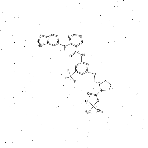 CC(C)(C)OC(=O)N1CCC[C@H]1COc1cc(NC(=O)c2cccnc2Nc2ccc3cn[nH]c3c2)cc(C(F)(F)F)c1